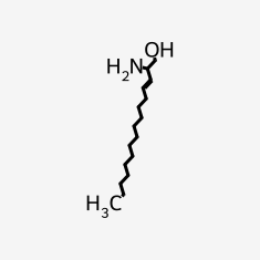 CCCCCCCCCCCC/C=C/C(N)CO